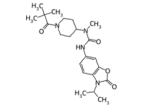 CC(C)n1c(=O)oc2cc(NC(=O)N(C)C3CCN(C(=O)C(C)(C)C)CC3)ccc21